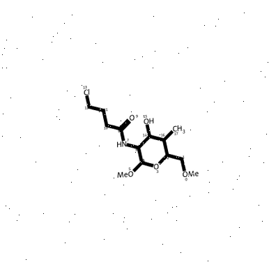 COCC1OC(OC)C(NC(=O)CCCCl)C(O)C1C